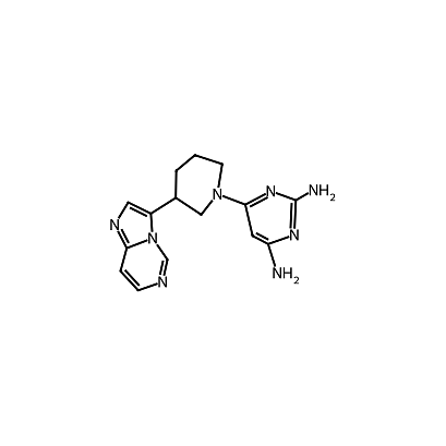 Nc1cc(N2CCCC(c3cnc4ccncn34)C2)nc(N)n1